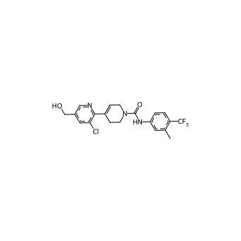 Cc1cc(NC(=O)N2CC=C(c3ncc(CO)cc3Cl)CC2)ccc1C(F)(F)F